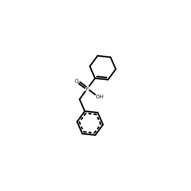 O=P(O)(Cc1ccccc1)C1=CCCCC1